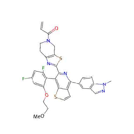 C=CC(=O)N1CCc2nc(-c3nc(-c4ccc5c(cnn5C)c4)c4ccsc4c3-c3c(F)cc(F)cc3OCCOC)sc2C1